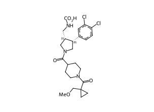 COCC1(C(=O)N2CCC(C(=O)N3C[C@H](CNC(=O)O)[C@H](c4ccc(Cl)c(Cl)c4)C3)CC2)CC1